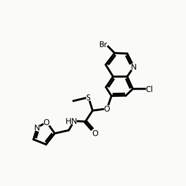 CSC(Oc1cc(Cl)c2ncc(Br)cc2c1)C(=O)NCc1ccno1